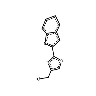 ClCc1coc(-c2cc3ccccc3s2)n1